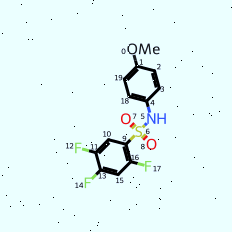 COc1ccc(NS(=O)(=O)c2cc(F)c(F)cc2F)cc1